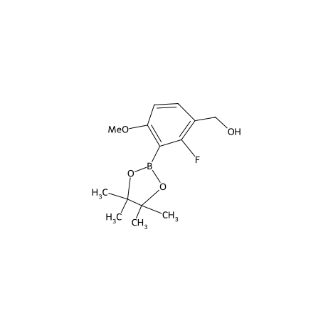 COc1ccc(CO)c(F)c1B1OC(C)(C)C(C)(C)O1